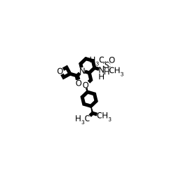 CC(C)[C@H]1CC[C@@H](OCC2C(N[SH](C)(C)=O)CCCN2C(=O)C2COC2)CC1